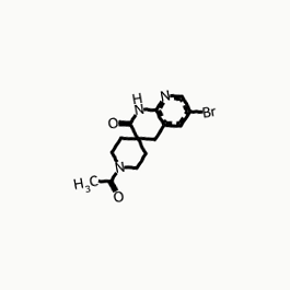 CC(=O)N1CCC2(CC1)Cc1cc(Br)cnc1NC2=O